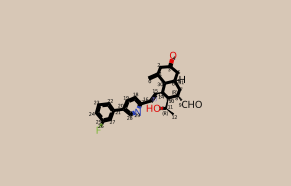 C=C1CC(=O)C[C@H]2C[C@@H](C=O)[C@@H]([C@@H](C)O)[C@@H](/C=C/c3ccc(-c4cccc(F)c4)cn3)C12